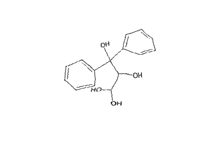 OC(O)C(O)C(O)(c1ccccc1)c1ccccc1